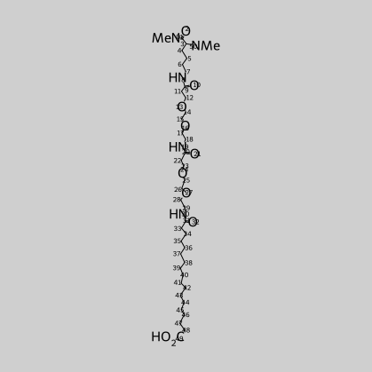 CNC(=O)C(CCCCNC(=O)CCOCCOCCNC(=O)CCOCCOCCNC(=O)CCCCCCCCCCCCCCCCC(=O)O)NC